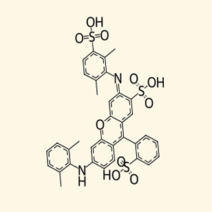 Cc1ccc(S(=O)(=O)O)c(C)c1/N=c1\cc2oc3cc(Nc4c(C)cccc4C)ccc3c(-c3ccccc3S(=O)(=O)O)c-2cc1S(=O)(=O)O